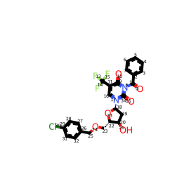 O=C(c1ccccc1)n1c(=O)c(C(F)(F)F)cn([C@@H]2CC(O)[C@H](COCc3ccc(Cl)cc3)O2)c1=O